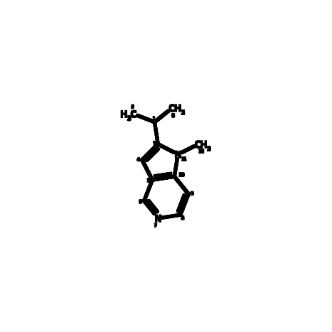 CC(C)c1cc2cnccc2n1C